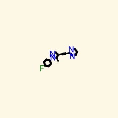 Cc1c(C#Cc2ncccn2)cnn1-c1ccc(F)cc1